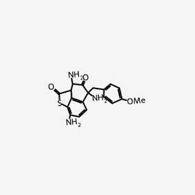 COc1ccc(CC2(N)C(=O)C(N)C3C(=O)Sc4c(N)ccc2c43)cc1